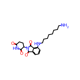 NCCCCCCCCNc1cccc2c1C(=O)N(C1CCC(=O)NC1=O)C2=O